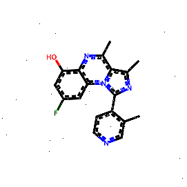 Cc1cnccc1-c1nc(C)c2c(C)nc3c(O)cc(F)cc3n12